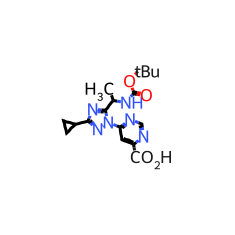 CC(NC(=O)OC(C)(C)C)c1nc(C2CC2)nn1-c1cc(C(=O)O)ncn1